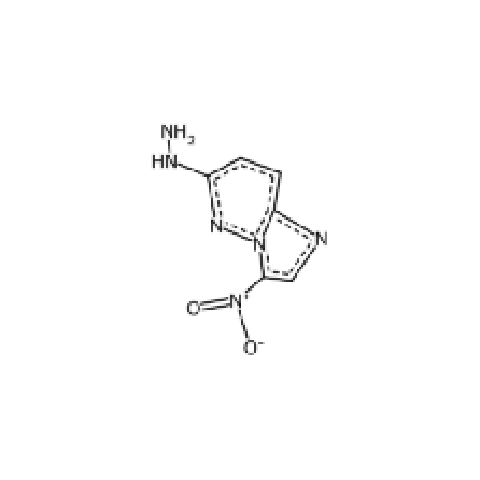 NNc1ccc2ncc([N+](=O)[O-])n2n1